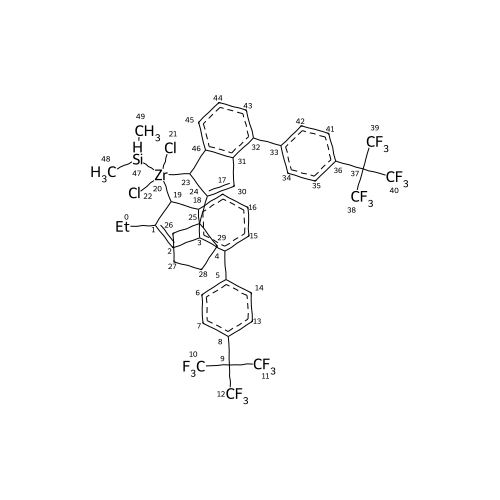 CCC1=Cc2c(-c3ccc(C(C(F)(F)F)(C(F)(F)F)C(F)(F)F)cc3)cccc2[CH]1[Zr]([Cl])([Cl])([CH]1C(C2CCCC2)=Cc2c(-c3ccc(C(C(F)(F)F)(C(F)(F)F)C(F)(F)F)cc3)cccc21)[SiH](C)C